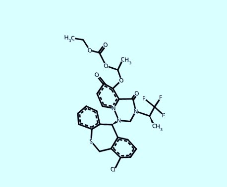 CCOC(=O)OC(C)Oc1c2n(ccc1=O)N([C@@H]1c3ccccc3SCc3c(Cl)cccc31)CN([C@H](C)C(F)(F)F)C2=O